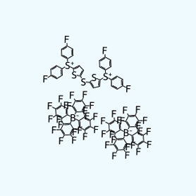 Fc1c(F)c(F)c([B-](c2c(F)c(F)c(F)c(F)c2F)(c2c(F)c(F)c(F)c(F)c2F)c2c(F)c(F)c(F)c(F)c2F)c(F)c1F.Fc1c(F)c(F)c([B-](c2c(F)c(F)c(F)c(F)c2F)(c2c(F)c(F)c(F)c(F)c2F)c2c(F)c(F)c(F)c(F)c2F)c(F)c1F.Fc1ccc([S+](c2ccc(F)cc2)c2ccc(Sc3ccc([S+](c4ccc(F)cc4)c4ccc(F)cc4)s3)s2)cc1